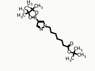 CC(C)(C)OC(=O)CCCCCCn1cc(B2OC(C)(C)C(C)(C)O2)cn1